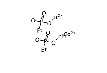 CCCOP(=O)([O-])CC.CCCOP(=O)([O-])CC.[Co+2]